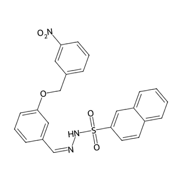 O=[N+]([O-])c1cccc(COc2cccc(/C=N\NS(=O)(=O)c3ccc4ccccc4c3)c2)c1